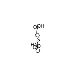 O=C(O)CCc1ccc(SCCNS(=O)(=O)c2ccccc2)cc1